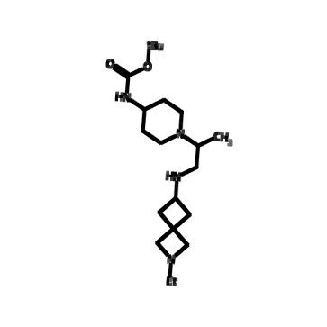 CCN1CC2(CC(NCC(C)N3CCC(NC(=O)OC(C)(C)C)CC3)C2)C1